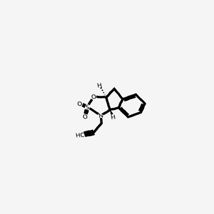 C#CCN1[C@H]2c3ccccc3C[C@@H]2OS1(=O)=O